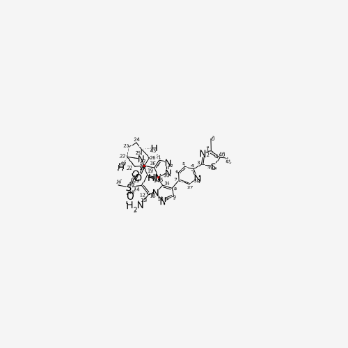 Cc1nc(-c2ccc(-c3cnn4c(N)c(S(C)(=O)=O)c(C5C[C@H]6CC[C@@H](C5)N6C(=O)c5cnn[nH]5)nc34)cn2)sc1C